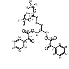 C[Si](C)(C)O[Si](C)(CCCC(COC(=O)C(=O)c1ccccc1)COC(=O)C(=O)c1ccccc1)O[Si](C)(C)C